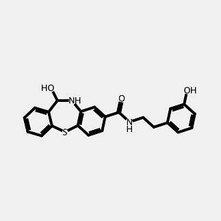 O=C(NCCc1cccc(O)c1)c1ccc2c(c1)NC(O)c1ccccc1S2